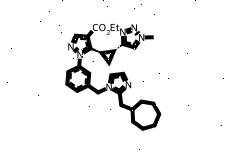 CCOC(=O)c1cnn(-c2cccc(Cn3ccnc3CC3CCCCCC3)c2)c1[C@@H]1C[C@H]1c1cn(C)nn1